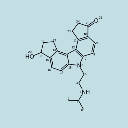 CC(C)NCCn1c2ccc3c(c2c2c4c(ccc21)C(O)CC4)CCC3=O